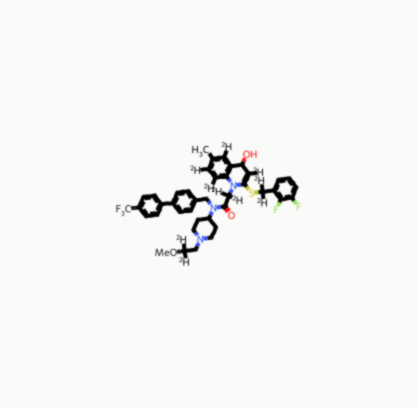 [2H]C1=C(SC([2H])([2H])c2cccc(F)c2F)N(C([2H])([2H])C(=O)N(Cc2ccc(-c3ccc(C(F)(F)F)cc3)cc2)C2CCN(CC([2H])([2H])OC)CC2)c2c([2H])c([2H])c(C)c([2H])c2C1O